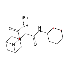 CC(C)(C)NC(=O)CN1C2CC1CN(CC(=O)NC13CCC(CC1)CC3)C2